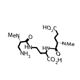 CN[C@@H](CN)C(=O)NCCC(NC(=O)[C@H](CCC(=O)O)NC)C(=O)O